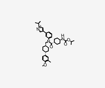 COc1ccc([C@H]2CC[C@H](CN(c3cccc(-c4cnn(C(C)C)c4)c3)C(=O)[C@H]3CC[C@H](NC(=O)OC(C)C)CC3)CC2)cc1C